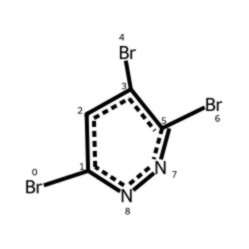 Brc1cc(Br)c(Br)nn1